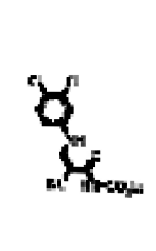 CCOC(=O)NC(=O)/C(C#N)=C\Nc1ccc(Cl)c(Cl)c1